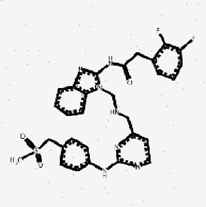 CS(=O)(=O)Cc1ccc(Nc2nccc(CNCn3c(NC(=O)Cc4cccc(F)c4F)nc4ccccc43)n2)cc1